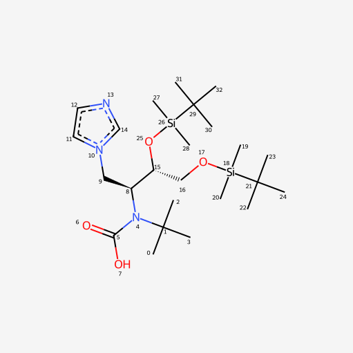 CC(C)(C)N(C(=O)O)[C@@H](Cn1ccnc1)[C@@H](CO[Si](C)(C)C(C)(C)C)O[Si](C)(C)C(C)(C)C